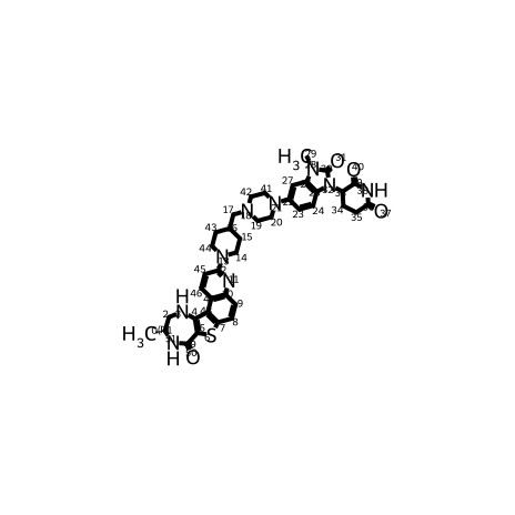 C[C@@H]1CNc2c(sc3ccc4nc(N5CCC(CN6CCN(c7ccc8c(c7)n(C)c(=O)n8C7CCC(=O)NC7=O)CC6)CC5)ccc4c23)C(=O)N1